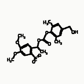 COc1cc(C(C)OC(=O)Oc2c(C)cc(CO)cc2C)c([N+](=O)[O-])cc1OC